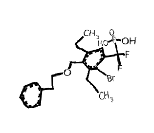 CCc1cc(C(F)(F)P(=O)(O)O)c(Br)c(CC)c1COCCc1ccccc1